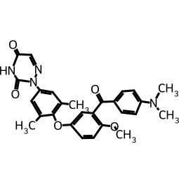 COc1ccc(Oc2c(C)cc(-n3ncc(=O)[nH]c3=O)cc2C)cc1C(=O)c1ccc(N(C)C)cc1